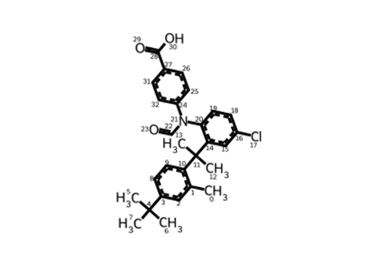 Cc1cc(C(C)(C)C)ccc1C(C)(C)c1cc(Cl)ccc1N(C=O)c1ccc(C(=O)O)cc1